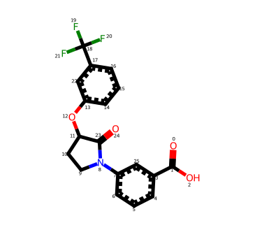 O=C(O)c1cccc(N2CCC(Oc3cccc(C(F)(F)F)c3)C2=O)c1